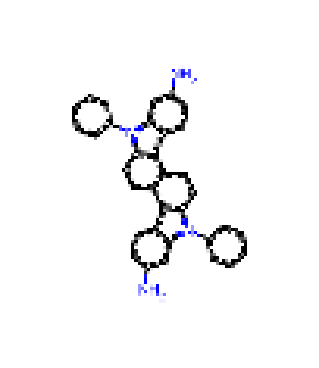 Nc1ccc2c3c4ccc5c(c4ccc3n(-c3ccccc3)c2c1)c1ccc(N)cc1n5-c1ccccc1